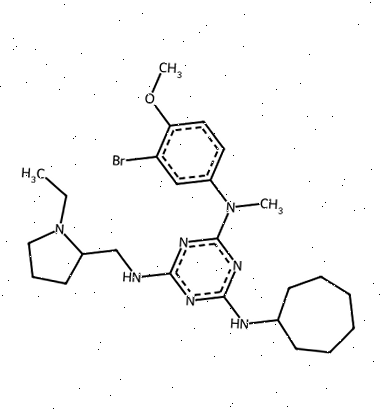 CCN1CCCC1CNc1nc(NC2CCCCCC2)nc(N(C)c2ccc(OC)c(Br)c2)n1